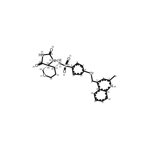 Cc1cc(COc2ccc(S(=O)(=O)N[C@@H]3CCOC[C@]34NC(=O)NC4=O)cc2)c2ccccc2n1